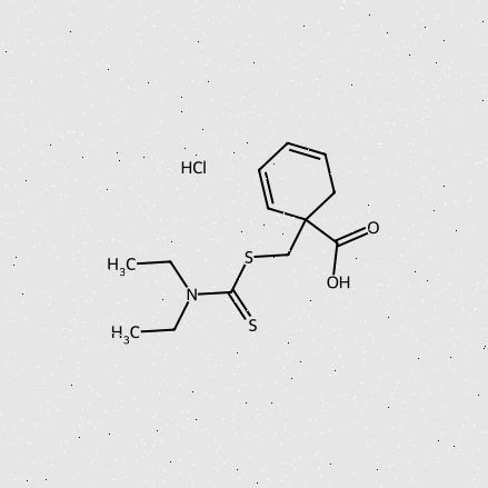 CCN(CC)C(=S)SCC1(C(=O)O)C=CC=CC1.Cl